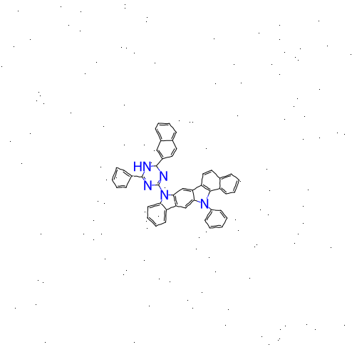 c1ccc(C2=NC(n3c4ccccc4c4cc5c(cc43)c3ccc4ccccc4c3n5-c3ccccc3)=NC(c3ccc4ccccc4c3)N2)cc1